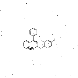 CC[CH]C([CH]c1ccc(I)cc1F)N=C(c1ccccc1)c1ccccc1